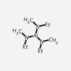 CC[N](C)[Al]([N](C)CC)[N](C)CC